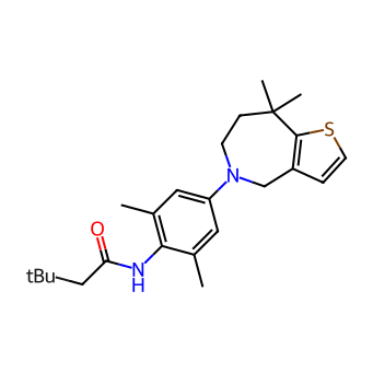 Cc1cc(N2CCC(C)(C)c3sccc3C2)cc(C)c1NC(=O)CC(C)(C)C